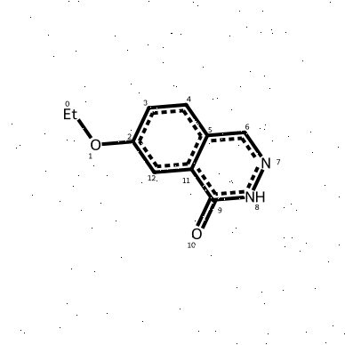 CCOc1ccc2cn[nH]c(=O)c2c1